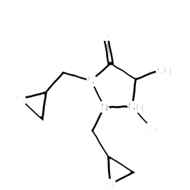 CC1C(=O)N(CC2CO2)N(CC2CO2)[NH+]1[O-]